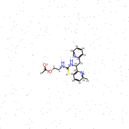 CC(=O)OCCNC(=S)NC(Cc1ccccn1)c1cccc(C)n1